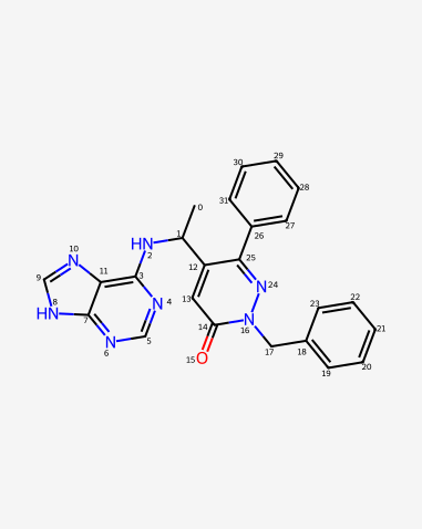 CC(Nc1ncnc2[nH]cnc12)c1cc(=O)n(Cc2ccccc2)nc1-c1ccccc1